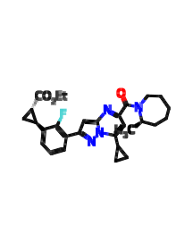 CCOC(=O)[C@H]1C[C@@H]1c1cccc(-c2cc3nc(C(=O)N4CCCCC[C@H]4C)cc(C4CC4)n3n2)c1F